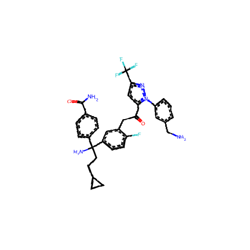 NCc1cccc(-n2nc(C(F)(F)F)cc2C(=O)Cc2cc(C(N)(CCC3CC3)c3ccc(C(N)=O)cc3)ccc2F)c1